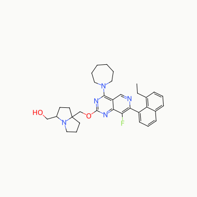 CCc1cccc2cccc(-c3ncc4c(N5CCCCCC5)nc(OCC56CCCN5C(CO)CC6)nc4c3F)c12